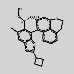 Cc1cc2nc(C3CCC3)sc2c(-c2ccc3c4c(ccnc24)CCO3)c1[C@H](OC(C)(C)C)C(=O)O